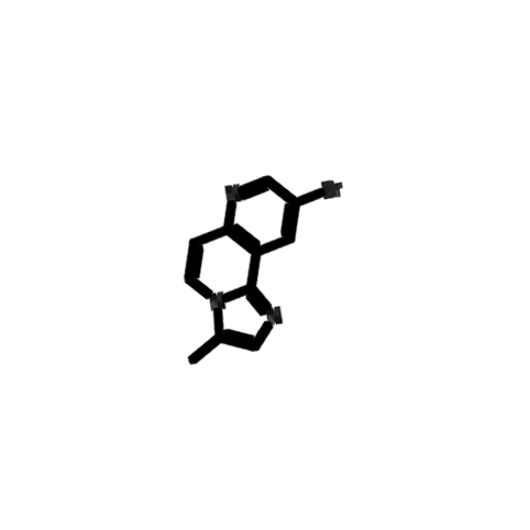 Cc1cnc2c3cc(Br)cnc3ccn12